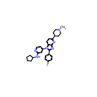 CN1CCC(c2ccc3c(n2)nc(-c2ccc(F)cc2)n3-c2ccnc(NC3CCCC3)c2)CC1